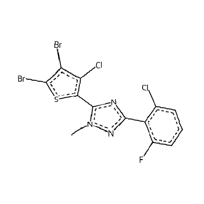 Cn1nc(-c2c(F)cccc2Cl)nc1-c1sc(Br)c(Br)c1Cl